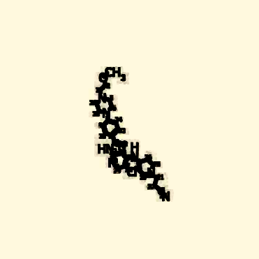 COCCN1CCN(c2ccc(-c3nc4c(NC5CCN(CCC#N)CC5)c(Cl)cnc4[nH]3)cc2)CC1